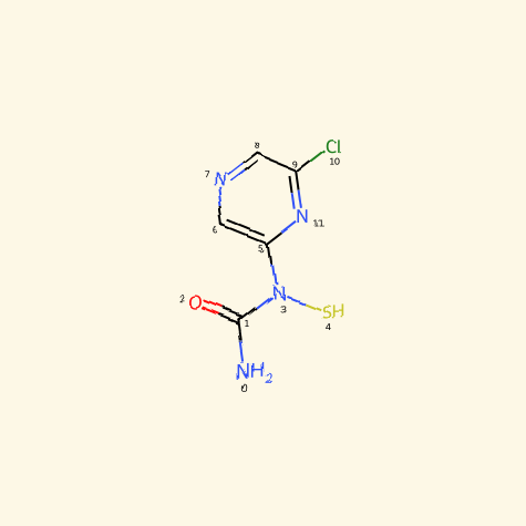 NC(=O)N(S)c1cncc(Cl)n1